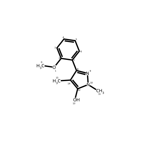 COc1ccccc1-c1nn(C)c(O)c1C